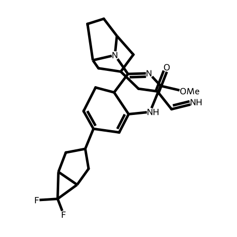 COC1N=C(N2C3CCC2CC(CC(=O)C=N)C3)C2CC=C(C3CC4C(C3)C4(F)F)C=C2N1